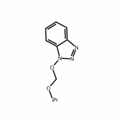 CC(C)OCOn1nnc2ccccc21